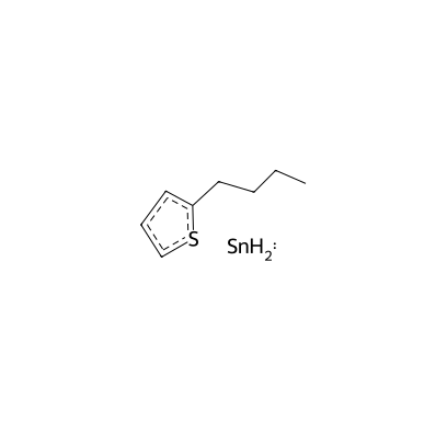 CCCCc1cccs1.[SnH2]